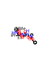 CCOP(=O)(CC(CC(C)C)C(=O)N[C@@H](CC(C)C)C(=O)NC)CN1C(=O)C[C@@H](NC(=O)[C@@H]2CCCN2C(=O)OCc2ccccc2)C1=O